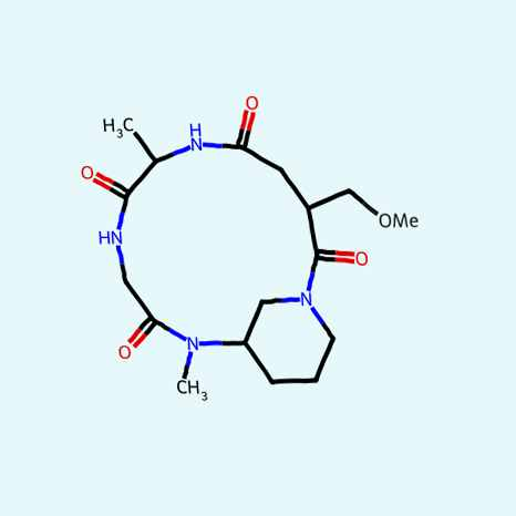 COCC1CC(=O)NC(C)C(=O)NCC(=O)N(C)C2CCCN(C2)C1=O